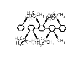 CC#Cc1ccccc1-c1ccc(-c2ccc(-c3ccc(-c4ccccc4C#C[Si](C)(C)C)c(C#CC)c3C#C[Si](C)(C)C)c(C#CC)c2C#C[Si](C)(C)C)c(C#CC)c1C#C[Si](C)(C)C